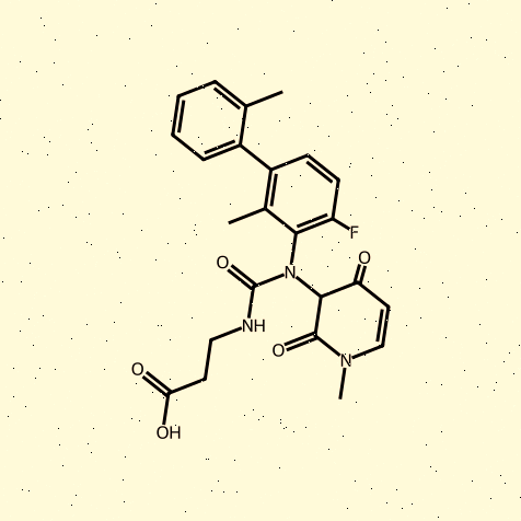 Cc1ccccc1-c1ccc(F)c(N(C(=O)NCCC(=O)O)C2C(=O)C=CN(C)C2=O)c1C